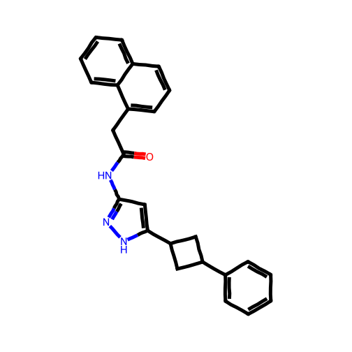 O=C(Cc1cccc2ccccc12)Nc1cc(C2CC(c3ccccc3)C2)[nH]n1